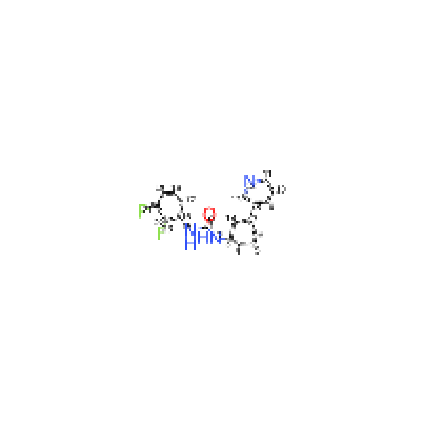 O=C(Nc1cccc(-c2cccnc2)c1)Nc1cccc(F)c1F